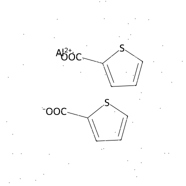 O=C([O-])c1cccs1.O=C([O-])c1cccs1.[Al+2]